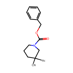 CC(=O)C1(C#N)CCCN(C(=O)OCc2ccccc2)C1